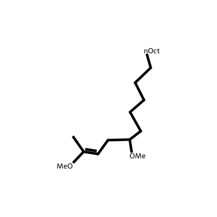 [CH2]CCCCCCCCCCCCC(CC=C(C)OC)OC